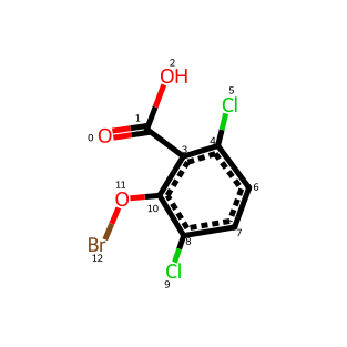 O=C(O)c1c(Cl)ccc(Cl)c1OBr